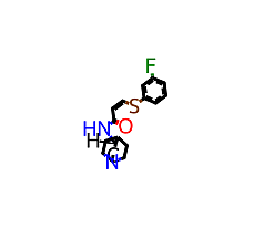 O=C(/C=C\Sc1cccc(F)c1)N[C@H]1CN2CCC1CC2